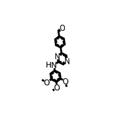 COc1cc(Nc2cncc(-c3ccc(C=O)cc3)n2)cc(OC)c1OC